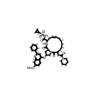 COc1ccc2c(OC3CC4C(=O)NC(C(=O)NS(=O)(=O)C5CC5)CC=CCCCCCC(CC(=O)N5CCCCC5)C(=O)N4C3)cc(-c3ccccc3)nc2c1